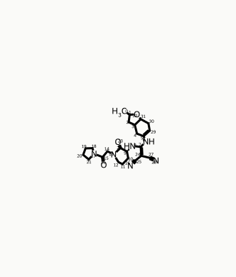 CC1CC2CC(NC(N[C@H]3CCCN(CC(=O)N4CCCC4)C3=O)=C(C#N)C#N)=CCC2O1